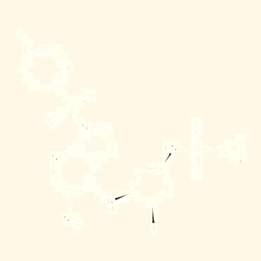 Cc1ccc(S(=O)(=O)n2ccc3c(N[C@H]4C[C@@H](NS(=O)(=O)C5CC5)C[C@H]4I)c(N)cnc32)cc1